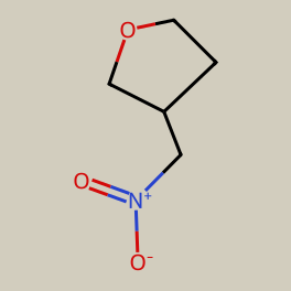 O=[N+]([O-])CC1CCOC1